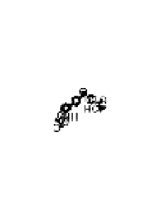 CC(C=O)S(=O)(=O)Nc1cccc(-c2ccc(C(=O)N3CCN(C(=O)C4(O)CC4)CC3)cc2)c1